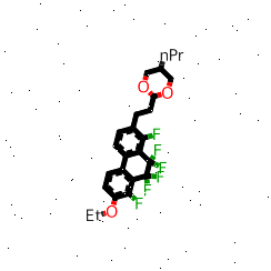 CCCC1COC(CCc2ccc3c(c2F)C(F)(F)C(F)(F)c2c-3ccc(OCC)c2F)OC1